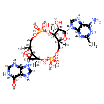 Cc1nc(N)c2ncn([C@@H]3O[C@@H]4COP(=O)(O)O[C@@H]5[C@H](O)[C@@H](COP(=O)(O)O[C@H]4[C@H]3O)O[C@H]5n3cnc4c(=O)[nH]cnc43)c2n1